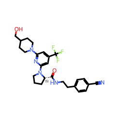 N#Cc1ccc(CCNC(=O)[C@@H]2CCCN2c2cc(C(F)(F)F)cc(N3CCC(CO)CC3)n2)cc1